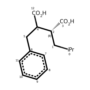 CC(C)C[C@@H](C(=O)O)C(Cc1ccccc1)C(=O)O